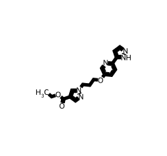 CCOC(=O)c1cnn(CCCOc2ccc(-c3ccn[nH]3)nc2)c1